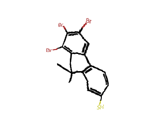 CC1(C)c2cc(S)ccc2-c2cc(Br)c(Br)c(Br)c21